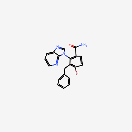 NC(=O)c1ccc(Br)c(Cc2ccccc2)c1-n1cnc2cccnc21